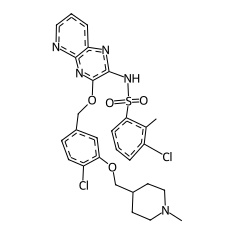 Cc1c(Cl)cccc1S(=O)(=O)Nc1nc2cccnc2nc1OCc1ccc(Cl)c(OCC2CCN(C)CC2)c1